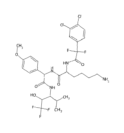 COc1ccc(C(NC(=O)C(CCCCN)NC(=O)C(F)(F)c2ccc(Cl)c(Cl)c2)C(=O)NC(C(C)C)C(O)C(F)(F)F)cc1